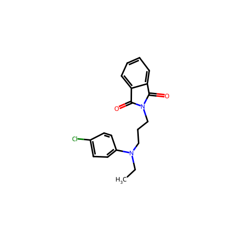 CCN(CCCN1C(=O)c2ccccc2C1=O)c1ccc(Cl)cc1